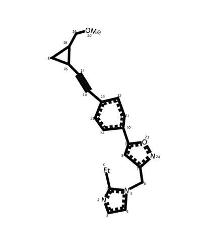 CCc1nccn1Cc1cc(-c2ccc(C#CC3CC3COC)cc2)on1